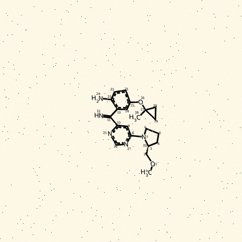 COC[C@@H]1CCCN1c1cc(C(=N)c2cc(OC3(C)CC3)ccc2N)ncn1